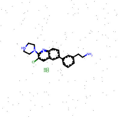 Cl.Cl.NCCc1cccc(-c2ccc3nc(N4CCNCC4)c(Cl)cc3c2)c1